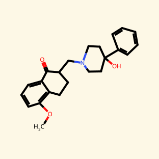 COc1cccc2c1CCC(CN1CCC(O)(c3ccccc3)CC1)C2=O